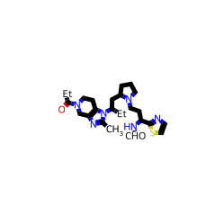 CCC(=O)N1CCc2c(nc(C)n2C(CC)CC2CCCN2CCC(NC=O)c2nccs2)C1